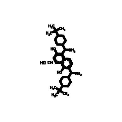 CC(C)(C)C1CCC(C(N)c2ccc3c(C(N)C4CCC(C(C)(C)C)CC4)c(O)ccc3c2O)CC1.Cl.Cl